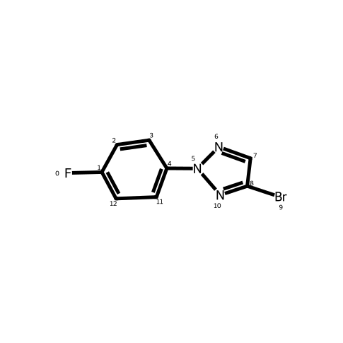 Fc1ccc(-n2ncc(Br)n2)cc1